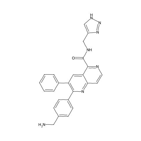 NCc1ccc(-c2nc3ccnc(C(=O)NCc4c[nH]nn4)c3cc2-c2ccccc2)cc1